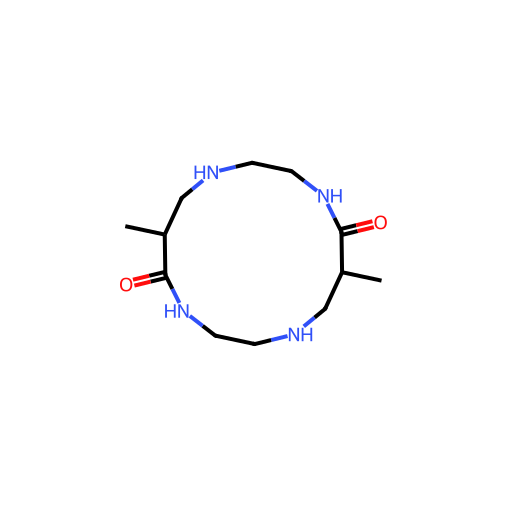 CC1CNCCNC(=O)C(C)CNCCNC1=O